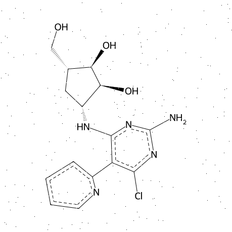 Nc1nc(Cl)c(-c2ccccn2)c(N[C@@H]2C[C@H](CO)[C@@H](O)[C@H]2O)n1